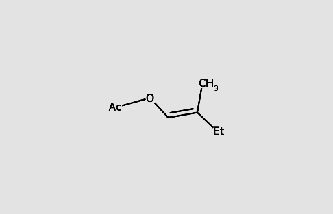 CCC(C)=COC(C)=O